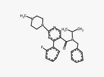 CC(C)N(Cc1ccccc1)C(=O)c1cnc(N2CCN(C)CC2)nc1-c1ccccc1F